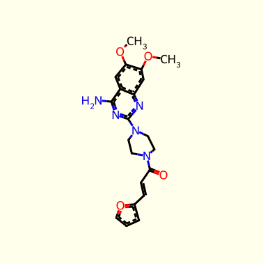 COc1cc2nc(N3CCN(C(=O)C=Cc4ccco4)CC3)nc(N)c2cc1OC